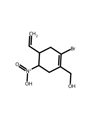 C=CC1CC(Br)=C(CO)CC1[N+](=O)O